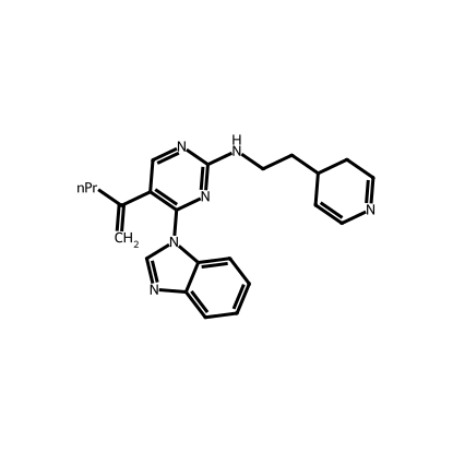 C=C(CCC)c1cnc(NCCC2C=CN=CC2)nc1-n1cnc2ccccc21